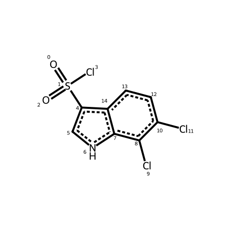 O=S(=O)(Cl)c1c[nH]c2c(Cl)c(Cl)ccc12